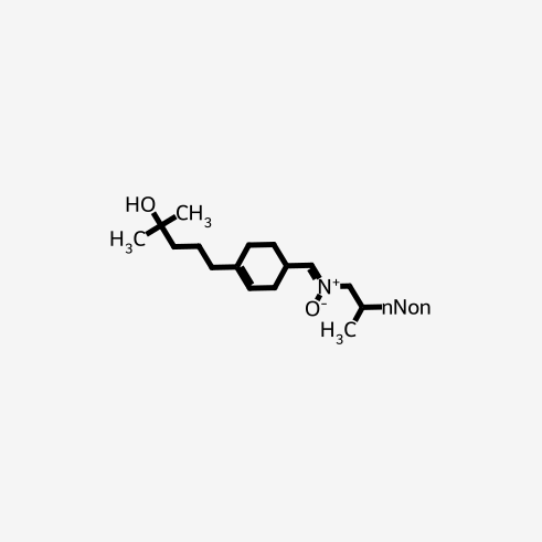 CCCCCCCCCC(C)C[N+]([O-])=CC1CC=C(CCCC(C)(C)O)CC1